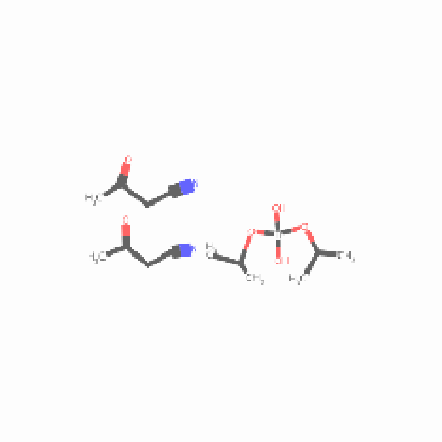 CC(=O)CC#N.CC(=O)CC#N.CC(C)[O][Ti]([OH])([OH])[O]C(C)C